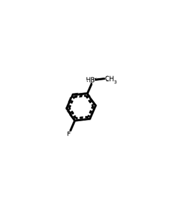 CBc1ccc(F)cc1